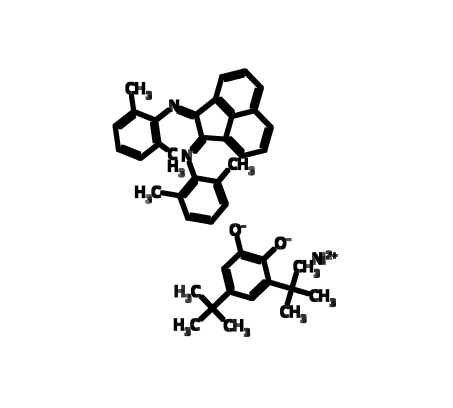 CC(C)(C)c1cc([O-])c([O-])c(C(C)(C)C)c1.Cc1cccc(C)c1/N=C1\C(=N\c2c(C)cccc2C)c2cccc3cccc1c23.[Ni+2]